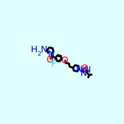 CC(C)c1noc(N2CCC(CCCOc3ccc(C(=O)N4CCC[C@H](N)C4)c(F)c3)CC2)n1